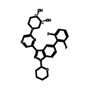 O[C@@H]1CN(c2cncc(-c3nn(C4CCCCO4)c4ccc(-c5c(F)cccc5F)cc34)n2)CC[C@@H]1O